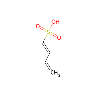 C=CC=CS(=O)(=O)O